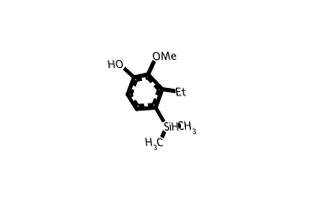 CCc1c([SiH](C)C)ccc(O)c1OC